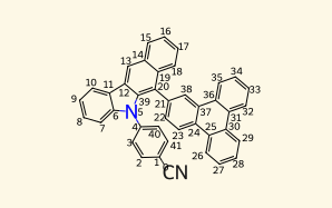 N#Cc1ccc(-n2c3ccccc3c3cc4ccccc4c(-c4ccc5c6ccccc6c6ccccc6c5c4)c32)cc1